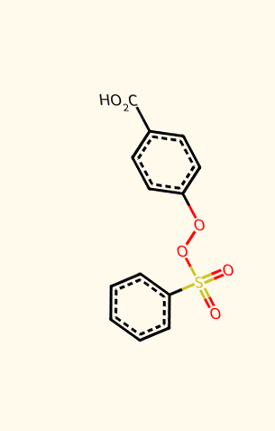 O=C(O)c1ccc(OOS(=O)(=O)c2ccccc2)cc1